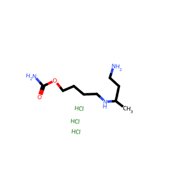 CC(CCN)NCCCCOC(N)=O.Cl.Cl.Cl